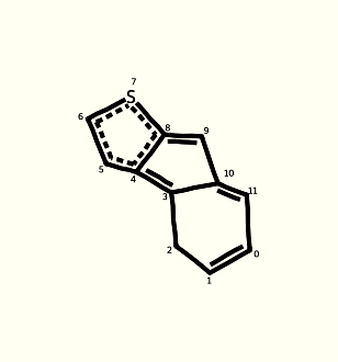 C1=CCC2=c3ccsc3=CC2=C1